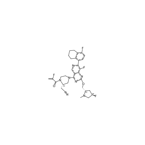 C=C(F)C(=O)N1CCN(c2nc(OC[C@@H]3C[C@@H](F)CN3C)nc3c(F)c(-c4ccc(F)c5c4CCCC5)ncc23)C[C@@H]1CC#N